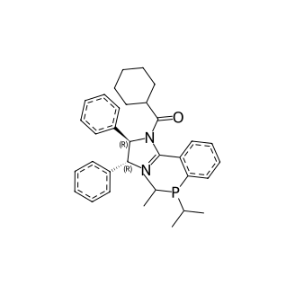 CC(C)P(c1ccccc1C1=N[C@H](c2ccccc2)[C@@H](c2ccccc2)N1C(=O)C1CCCCC1)C(C)C